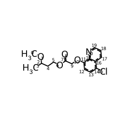 COC(C)CCOC(=O)COc1ccc(Cl)c2cccnc12